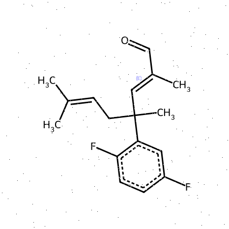 CC(C)=CCC(C)(/C=C(\C)C=O)c1cc(F)ccc1F